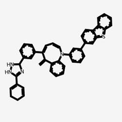 C=C1/C(c2cccc(C3N=C(C4=CCCC=C4)NN3)c2)=C\C=C/N(c2cccc(-c3ccc4c(c3)sc3ccccc34)c2)c2ccccc21